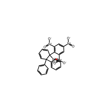 NNC1(c2c([N+](=O)[O-])cc([N+](=O)[O-])cc2[N+](=O)[O-])C=CC=CC1(c1ccccc1)c1ccccc1